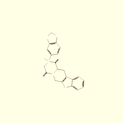 C[N+]1(c2ccc3c(c2)OCO3)CC(=O)N2Cc3[nH]c4ccccc4c3C[C@@H]2C1=O